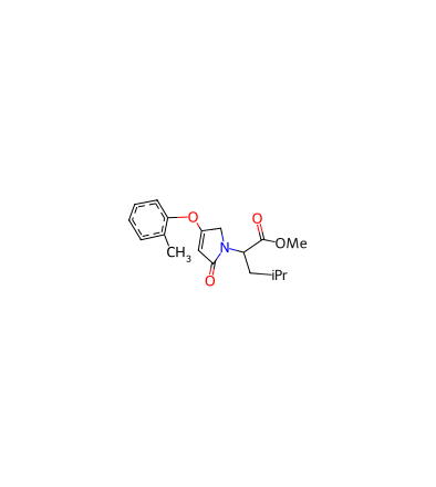 COC(=O)C(CC(C)C)N1CC(Oc2ccccc2C)=CC1=O